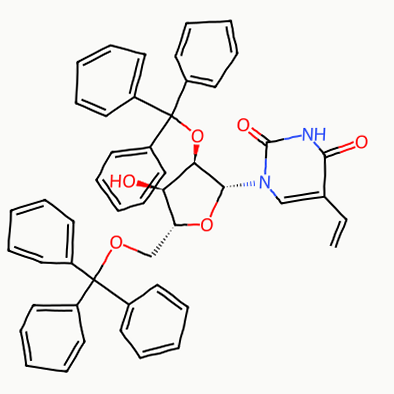 C=Cc1cn([C@@H]2O[C@H](COC(c3ccccc3)(c3ccccc3)c3ccccc3)[C@@H](O)[C@H]2OC(c2ccccc2)(c2ccccc2)c2ccccc2)c(=O)[nH]c1=O